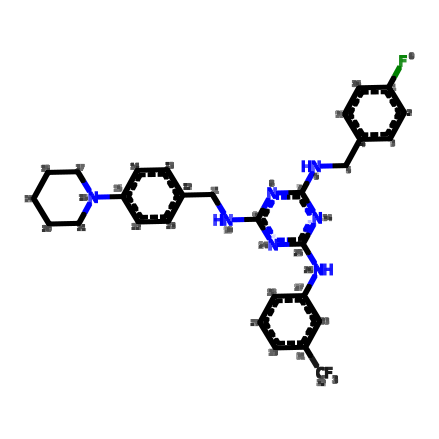 Fc1ccc(CNc2nc(NCc3ccc(N4CCCCC4)cc3)nc(Nc3cccc(C(F)(F)F)c3)n2)cc1